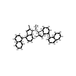 C[CH2][Ti]([CH]1C(C)=Cc2c(-c3cccc4ccccc34)cccc21)[CH]1C(C)=Cc2c(-c3cccc4ccccc34)cccc21